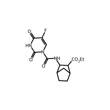 CCOC(=O)C1C2CCC(C2)C1NC(=O)n1cc(F)c(=O)[nH]c1=O